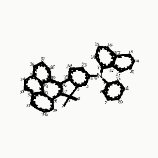 CC1(C)c2cc(N(c3ccccc3)c3cccc4ccccc34)ccc2-c2c1c1cccc3ccc4cccc2c4c31